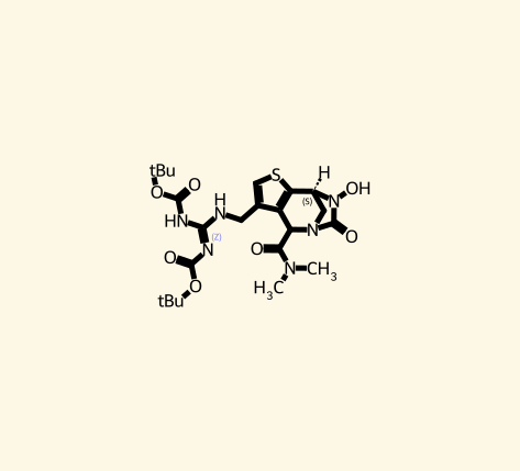 CN(C)C(=O)C1c2c(CN/C(=N/C(=O)OC(C)(C)C)NC(=O)OC(C)(C)C)csc2[C@@H]2CN1C(=O)N2O